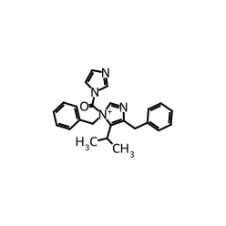 CC(C)C1=C(Cc2ccccc2)N=C[N+]1(Cc1ccccc1)C(=O)n1ccnc1